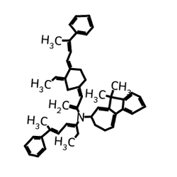 C=C(/C=C1/CCC(=C\C=C(/C)c2ccccc2)/C(=C/C)C1)N(/C(=C/C=C(\C)c1ccccc1)CC)C1C=C2C(=CCC1)c1ccccc1C2(C)C